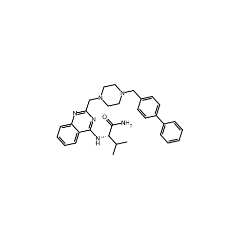 CC(C)[C@H](Nc1nc(CN2CCN(Cc3ccc(-c4ccccc4)cc3)CC2)nc2ccccc12)C(N)=O